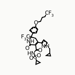 O=C1N[C@@](c2ccc(OCCCC(F)(F)F)cc2)(C(F)(F)F)CC(c2ccn(CC3CC3)n2)=C1C(=O)NS(=O)(=O)C1CC1